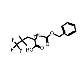 CC(C)(CC(NC(=O)OCc1ccccc1)C(=O)O)C(F)(F)F